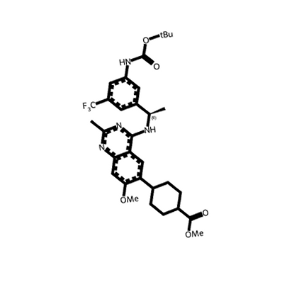 COC(=O)C1CCC(c2cc3c(N[C@H](C)c4cc(NC(=O)OC(C)(C)C)cc(C(F)(F)F)c4)nc(C)nc3cc2OC)CC1